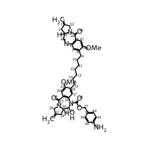 C=C1C[C@H]2C=Nc3cc(CCCCCCCc4cc5c(cc4OC)C(=O)N4CC(=C)C[C@H]4[C@H](O)N5C(=O)OCc4ccc(N)cc4)c(OC)cc3C(=O)N2C1